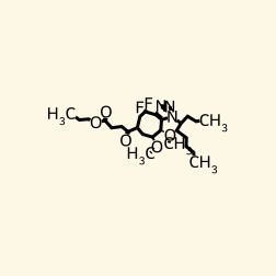 CCCCCC(CCC)n1nnc2c1[C@H](OC)[C@@H](OC)CC(C(=O)CCC(=O)OCCC)CC2(F)F